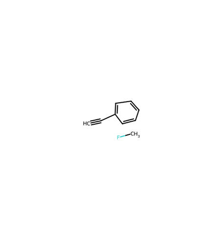 C#Cc1ccccc1.CF